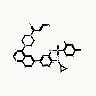 CC(=O)/C=C/C(=O)N1CCN(c2ncnc3ccc(-c4cnc(OC5CC5)c(NS(=O)(=O)c5ccc(F)cc5F)c4)cc23)CC1